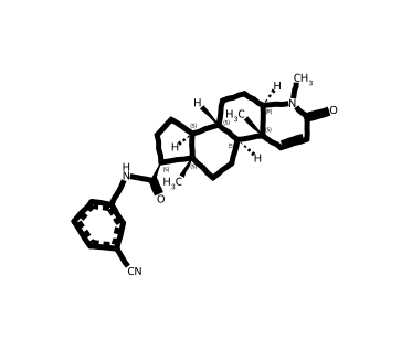 CN1C(=O)C=C[C@]2(C)[C@H]3CC[C@]4(C)[C@@H](C(=O)Nc5cccc(C#N)c5)CC[C@H]4[C@@H]3CC[C@@H]12